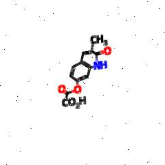 Cc1cc2ccc(OC(=O)C(=O)O)cc2[nH]c1=O